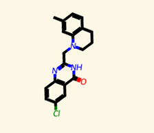 Cc1ccc2c(c1)N(Cc1nc3ccc(Cl)cc3c(=O)[nH]1)CCC2